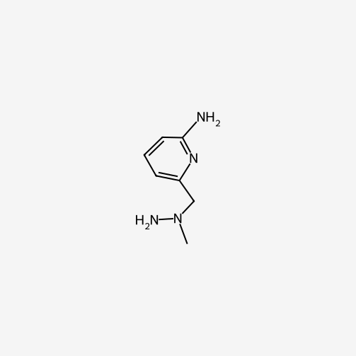 CN(N)Cc1cccc(N)n1